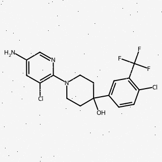 Nc1cnc(N2CCC(O)(c3ccc(Cl)c(C(F)(F)F)c3)CC2)c(Cl)c1